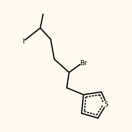 CC(I)CCC(Br)Cc1ccsc1